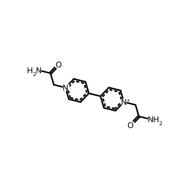 NC(=O)C[n+]1ccc(-c2cc[n+](CC(N)=O)cc2)cc1